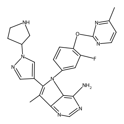 Cc1ccnc(Oc2ccc(-n3c(-c4cnn(C5CCNC5)c4)c(C)c4ncnc(N)c43)cc2F)n1